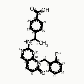 CC(Nc1ncc2ccc(=O)n(Cc3ccccc3F)c2n1)c1ccc(C(=O)O)cc1